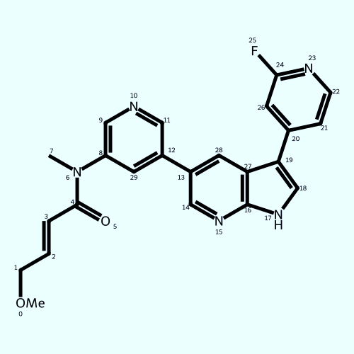 COC/C=C/C(=O)N(C)c1cncc(-c2cnc3[nH]cc(-c4ccnc(F)c4)c3c2)c1